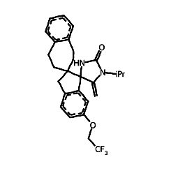 C=C1N(C(C)C)C(=O)NC12c1cc(OCC(F)(F)F)ccc1CC21CCc2ccccc2CC1